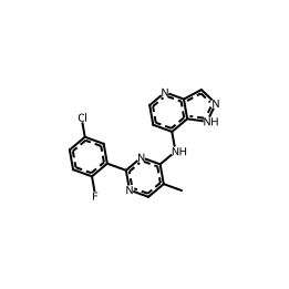 Cc1cnc(-c2cc(Cl)ccc2F)nc1Nc1ccnc2cn[nH]c12